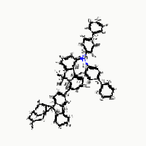 CC1CC2CC3C(C1)(C2)C31c2ccccc2-c2cc(-c3cccc4c3C(C)(C)c3cccc(N(c5ccc(-c6ccccc6)cc5)c5ccc(-c6ccccc6)cc5)c3-4)ccc21